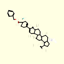 C=C(C)C1CC[C@]2(N)CC[C@]3(C)[C@H](CCC4[C@@]5(C)CC=C(C6=CC[C@](CF)(C(=O)OCc7ccccc7)CC6)C(C)(C)[C@H]5CC[C@]43C)[C@H]12